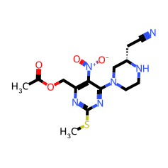 CSc1nc(COC(C)=O)c([N+](=O)[O-])c(N2CCN[C@@H](CC#N)C2)n1